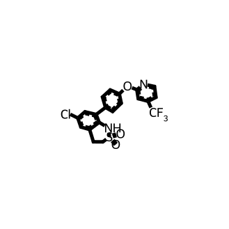 O=S1(=O)CCc2cc(Cl)cc(-c3ccc(Oc4cc(C(F)(F)F)ccn4)cc3)c2N1